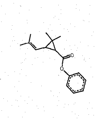 CC(C)=CC1C(C(=O)Oc2ccccc2)C1(C)C